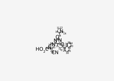 CC1Cc2c(nc(OCC3CCCN3C)nc2N2CCN(C(=O)O)[C@@H](CC#N)C2)OC1c1cccc2ccccc12